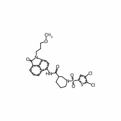 COCCCN1C(=O)c2cccc3c(NC(=O)C4CCCN(S(=O)(=O)c5cc(Cl)c(Cl)s5)C4)ccc1c23